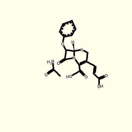 CC(N)=O.O=C(O)C=CC1=C(C(=O)O)N2C(=O)C(Oc3ccccc3)[C@@H]2SC1